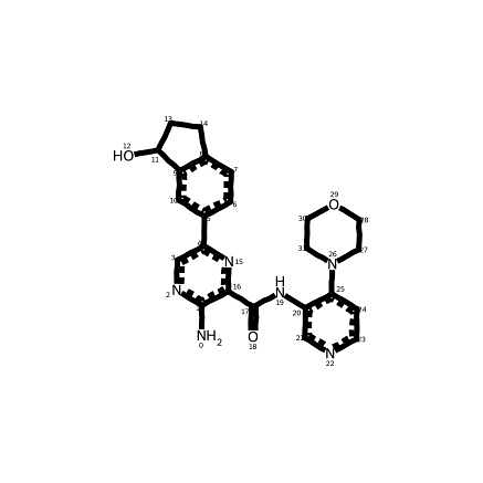 Nc1ncc(-c2ccc3c(c2)C(O)CC3)nc1C(=O)Nc1cnccc1N1CCOCC1